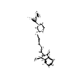 O=C(O)N1CCO[C@H](CCCCCN2C(=O)c3ccccc3C2=O)C1